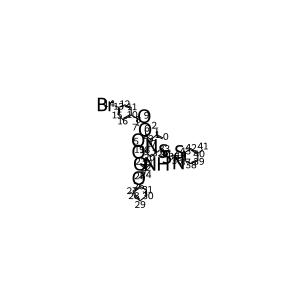 C=C(C)C(C(=O)OCC(=O)c1ccc(Br)cc1)N1C(=O)C(NC(=O)COc2ccccc2)C1SSc1nc2ccc(C)cc2s1